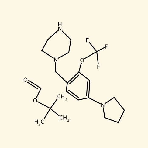 CC(C)(C)OC=O.FC(F)(F)Oc1cc(N2CCCC2)ccc1CN1CCNCC1